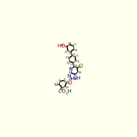 Cc1ccc(Oc2nc3nc(-c4ccc(-c5cccc(O)c5)cc4)c(Cl)cc3[nH]2)cc1C(=O)O